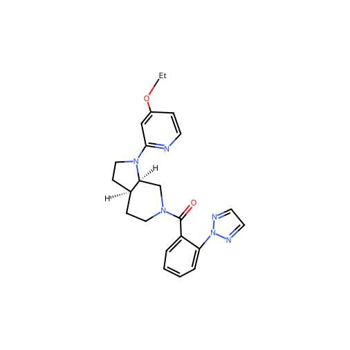 CCOc1ccnc(N2CC[C@@H]3CCN(C(=O)c4ccccc4-n4nccn4)C[C@@H]32)c1